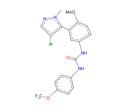 COc1ccc(NC(=O)Nc2ccc(OC(F)(F)F)cc2)cc1-c1c(Br)cnn1C